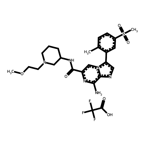 COCCN1CCCC(NC(=O)c2cn3c(-c4cc(S(C)(=O)=O)ccc4C)cnc3c(N)n2)C1.O=C(O)C(F)(F)F